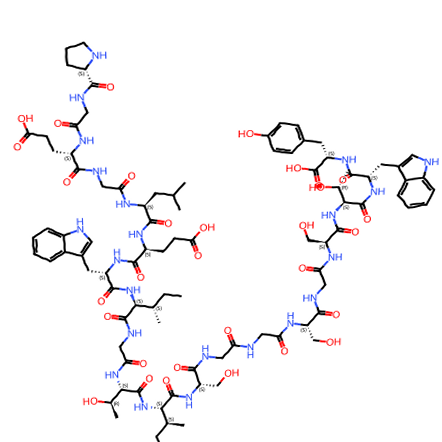 CC[C@H](C)[C@H](NC(=O)[C@H](Cc1c[nH]c2ccccc12)NC(=O)[C@H](CCC(=O)O)NC(=O)[C@H](CC(C)C)NC(=O)CNC(=O)[C@H](CCC(=O)O)NC(=O)CNC(=O)[C@@H]1CCCN1)C(=O)NCC(=O)N[C@H](C(=O)N[C@H](C(=O)N[C@@H](CO)C(=O)NCC(=O)NCC(=O)N[C@@H](CO)C(=O)NCC(=O)N[C@@H](CO)C(=O)N[C@H](C(=O)N[C@@H](Cc1c[nH]c2ccccc12)C(=O)N[C@@H](Cc1ccc(O)cc1)C(=O)O)[C@@H](C)O)[C@@H](C)CC)[C@@H](C)O